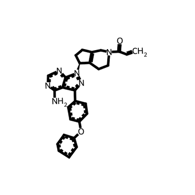 C=CC(=O)N1CCC2=C(CC[C@@H]2n2nc(-c3ccc(Oc4ccccc4)cc3)c3c(N)ncnc32)C1